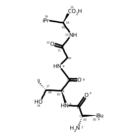 CC[C@H](C)[C@H](N)C(=O)N[C@H](C(=O)NCC(=O)N[C@H](C(=O)O)C(C)C)[C@@H](C)O